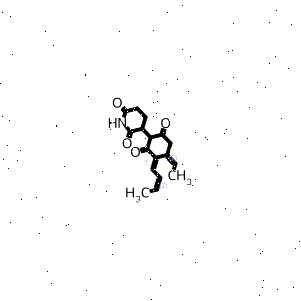 C\C=C/C=C1/C(=O)C(C2CCC(=O)NC2=O)C(=O)C/C1=C/C